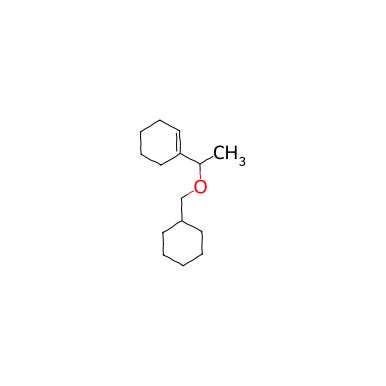 CC(OCC1CCCCC1)C1=CCCCC1